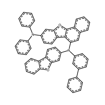 c1ccc(-c2cccc(N(c3ccc4c(c3)oc3ccccc34)c3cc4ccccc4c4oc5cc(N(c6ccccc6)c6ccccc6)ccc5c34)c2)cc1